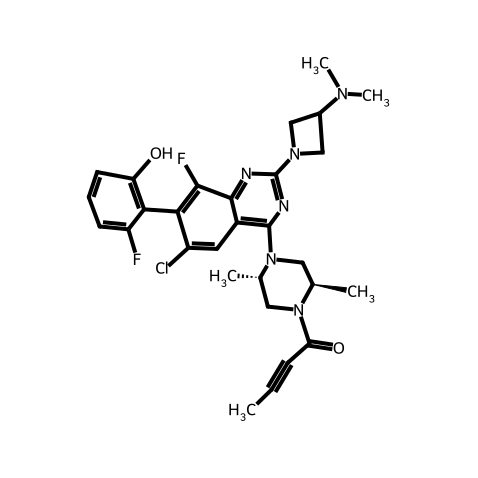 CC#CC(=O)N1C[C@H](C)N(c2nc(N3CC(N(C)C)C3)nc3c(F)c(-c4c(O)cccc4F)c(Cl)cc23)C[C@H]1C